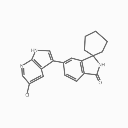 O=C1NC2(CCCCC2)c2cc(-c3c[nH]c4ncc(Cl)cc34)ccc21